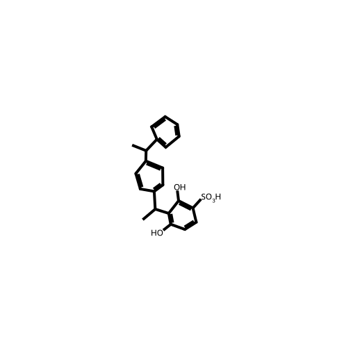 CC(c1ccccc1)c1ccc(C(C)c2c(O)ccc(S(=O)(=O)O)c2O)cc1